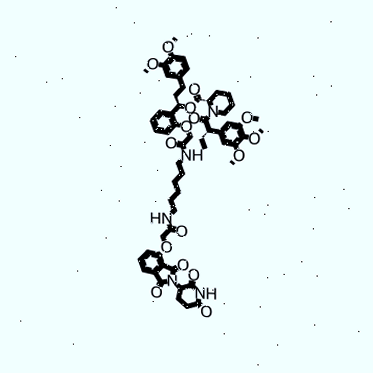 CC[C@H](C(=O)N1CCCC[C@H]1C(=O)O[C@H](CCc1ccc(OC)c(OC)c1)c1ccccc1OCC(=O)NCCCCCCNC(=O)COc1cccc2c1C(=O)N(C1CCC(=O)NC1=O)C2=O)c1cc(OC)c(OC)c(OC)c1